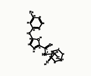 O=C(N[C@H]1CN2CCC1CC2)c1ncc(Sc2cccc(F)c2)o1